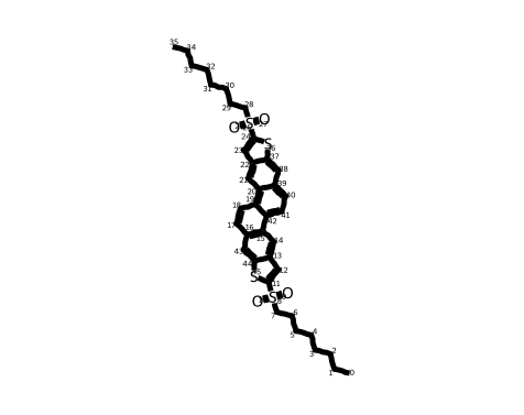 CCCCCCCCS(=O)(=O)c1cc2cc3c(ccc4c5cc6cc(S(=O)(=O)CCCCCCCC)sc6cc5ccc34)cc2s1